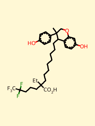 CCC(CCCCCCCCC1c2ccc(O)cc2OCC1(C)c1ccc(O)cc1)(CCCC(F)(F)C(F)(F)F)C(=O)O